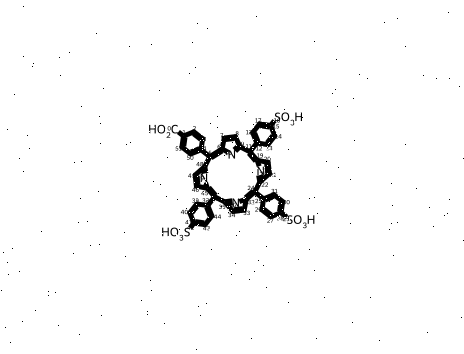 O=C(O)c1ccc(C2=C3C=CC(=N3)C(c3ccc(S(=O)(=O)O)cc3)=C3C=CC(=N3)C(c3ccc(S(=O)(=O)O)cc3)=C3C=CC(=N3)C(c3ccc(S(=O)(=O)O)cc3)=C3C=CC2=N3)cc1